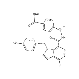 COC(=O)c1ccc([C@H](C)NC(=O)c2ccc(F)c3ccn(Cc4ccc(Cl)cc4)c23)cc1